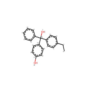 CCc1ccc(C(O)(c2ccccc2)c2ccc(O)cc2)cc1